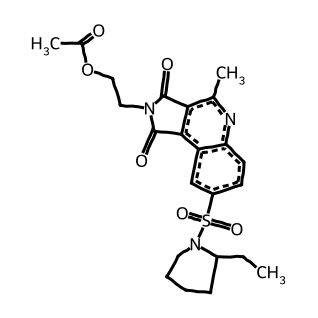 CCC1CCCCN1S(=O)(=O)c1ccc2nc(C)c3c(c2c1)C(=O)N(CCOC(C)=O)C3=O